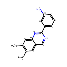 COc1cc2cnc(-c3cccc(N)c3)nc2cc1OC